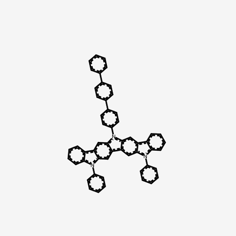 c1ccc(-c2ccc(-c3ccc(-n4c5cc6c7ccccc7n(-c7ccccc7)c6cc5c5cc6c(cc54)c4ccccc4n6-c4ccccc4)cc3)cc2)cc1